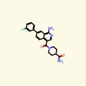 NC(=O)C1CCN(C(=O)c2cnc(N)c3cc(-c4cccc(F)c4)ccc23)CC1